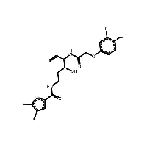 C=CC(NC(=O)COc1ccc(Cl)c(F)c1)C(O)CCNC(=O)c1cc(C)c(C)o1